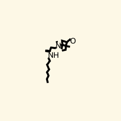 C=C(CCN(C)C1(C)CC(C=O)C1(C)CC)NCCCCCCCC